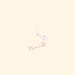 CN(C)CCN1CCC(N(C)C(=O)Nc2cc(Oc3ccc(NC(=S)NC(=O)Cc4ccc(F)cc4)cc3)ncn2)CC1